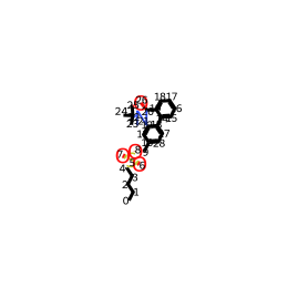 CCCCCS(=O)(=O)OCc1ccc(-c2ccccc2C2=NC(C)(C)CO2)cc1